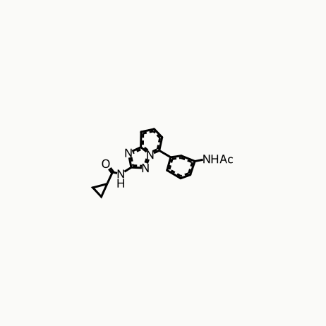 CC(=O)Nc1cccc(-c2cccc3nc(NC(=O)C4CC4)nn23)c1